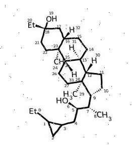 CCC1CC1C[C@@H](O)[C@@H](C)[C@H]1CC[C@H]2[C@@H]3CC[C@H]4C[C@](O)(CC)CC[C@]4(C)[C@H]3CC[C@]12C